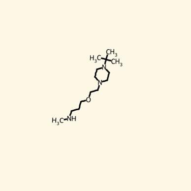 CNCCCOCCN1CCN(C(C)(C)C)CC1